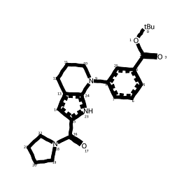 CC(C)(C)OC(=O)c1cccc(N2CCCc3cc(C(=O)N4CCCC4)[nH]c32)c1